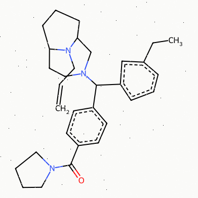 C=CCN1C2CCCC1CN(C(c1ccc(C(=O)N3CCCC3)cc1)c1cccc(CC)c1)CC2